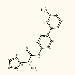 Nc1nccc(-c2ccc(NC(=O)[C@H](N)c3cccs3)cc2)n1